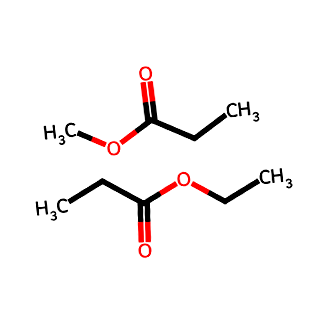 CCC(=O)OC.CCOC(=O)CC